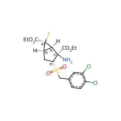 CCOC(=O)[C@@]1(N)[C@H]2[C@@H](C[C@H]1S(=O)(=O)Cc1ccc(Cl)c(Cl)c1)[C@]2(F)C(=O)OCC